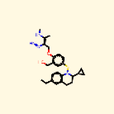 CCc1ccc2c(c1)CCC(C1CC1)N2Sc1ccc(OC/C(N=N)=C(\C)NC)c(CO)c1